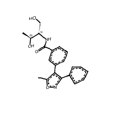 Cc1onc(-c2ccccc2)c1-c1cccc(C(=O)N[C@@H](CO)[C@H](C)O)c1